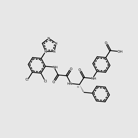 O=C(Nc1c(-n2cnnn2)ccc(Cl)c1Cl)C(=O)N[C@@H](Cc1ccccc1)C(=O)Nc1ccc(C(=O)O)cc1